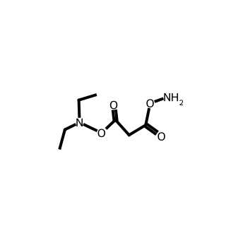 CCN(CC)OC(=O)CC(=O)ON